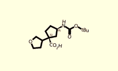 CC(C)(C)OC(=O)N[C@@H]1CC[C@@](C(=O)O)(C2CCOC2)C1